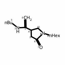 C=C(NCCCC)C1CC(=O)N(CCCCCC)C1